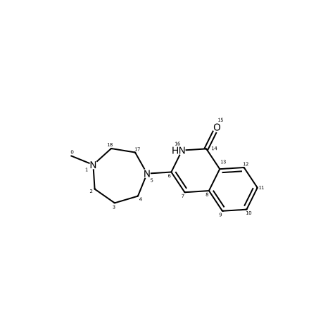 CN1CCCN(c2cc3ccccc3c(=O)[nH]2)CC1